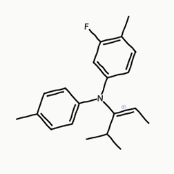 C/C=C(\C(C)C)N(c1ccc(C)cc1)c1ccc(C)c(F)c1